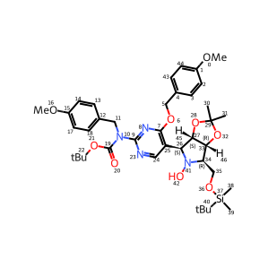 COc1ccc(COc2nc(N(Cc3ccc(OC)cc3)C(=O)OC(C)(C)C)ncc2[C@H]2[C@@H]3OC(C)(C)O[C@@H]3[C@@H](CO[Si](C)(C)C(C)(C)C)N2O)cc1